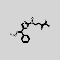 CO/N=C(\c1ccccc1)c1cnc([S+]([O-])CCC(F)=C(F)F)s1